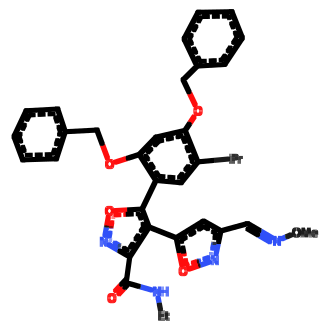 CCNC(=O)c1noc(-c2cc(C(C)C)c(OCc3ccccc3)cc2OCc2ccccc2)c1-c1cc(C=NOC)no1